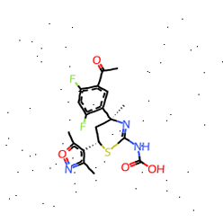 CC(=O)c1cc([C@]2(C)C[C@@H](c3c(C)noc3C)SC(NC(=O)O)=N2)c(F)cc1F